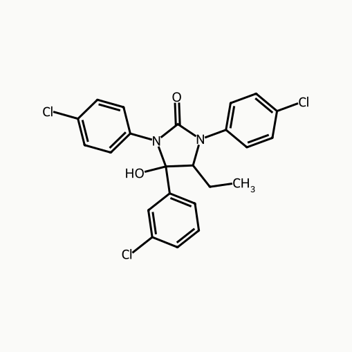 CCC1N(c2ccc(Cl)cc2)C(=O)N(c2ccc(Cl)cc2)C1(O)c1cccc(Cl)c1